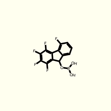 OB(O)OC1c2cccc(F)c2-c2c(F)c(F)c(F)c(F)c21